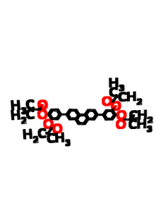 C=C(C)C(=O)Oc1ccc(-c2ccc3c(ccc4cc(-c5ccc(OC(=O)C(=C)C)c(OC(=O)C(=C)C)c5)ccc43)c2)cc1OC(=O)C(=C)C